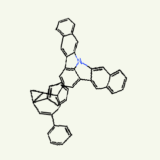 C1=C(c2ccccc2)C=C(c2cc3c4cc5ccccc5cc4n4c5cc6ccccc6cc5c(c2)c34)C2CC12c1ccccc1